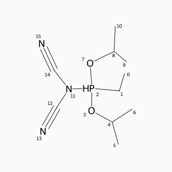 CC[PH](OC(C)C)(OC(C)C)N(C#N)C#N